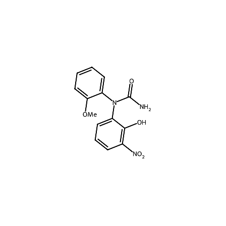 COc1ccccc1N(C(N)=O)c1cccc([N+](=O)[O-])c1O